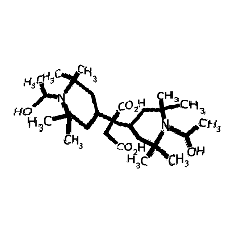 CC(O)N1C(C)(C)CC(C(CC(=O)O)(C(=O)O)C2CC(C)(C)N(C(C)O)C(C)(C)C2)CC1(C)C